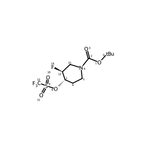 CC(C)(C)OC(=O)N1CC[C@H](OS(=O)(=O)C(F)(F)F)[C@@H](F)C1